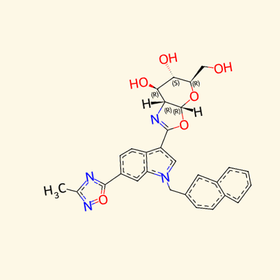 Cc1noc(-c2ccc3c(C4=N[C@H]5[C@@H](O4)O[C@H](CO)[C@@H](O)[C@@H]5O)cn(Cc4ccc5ccccc5c4)c3c2)n1